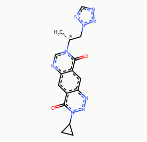 C[C@H](Cn1ncnn1)n1cnc2cc3c(=O)n(C4CC4)nnc3cc2c1=O